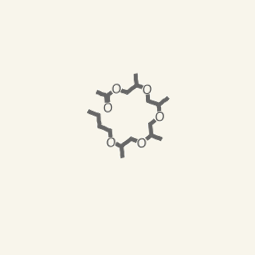 CCCCOC(C)COC(C)COC(C)COC(C)COC(C)=O